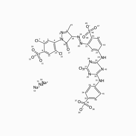 CC1=NN(c2cc(Cl)c(S(=O)(=O)[O-])cc2Cl)C(=O)C1N=Nc1cc(Nc2nc(Cl)nc(Nc3ccc(S(=O)(=O)[O-])cc3)n2)ccc1S(=O)(=O)[O-].[Na+].[Na+].[Na+]